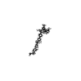 COC(=O)N[C@H](C(=O)N1C[C@@H](N(C)C)C[C@H]1c1nc(-c2ccc(-c3ccc(NC(=O)c4ccc(N5CCN(C(=O)C6CC6)C[C@H]5C)nc4)cc3)cc2)c[nH]1)C(C)C